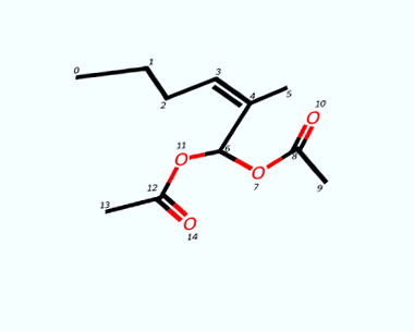 CCCC=C(C)C(OC(C)=O)OC(C)=O